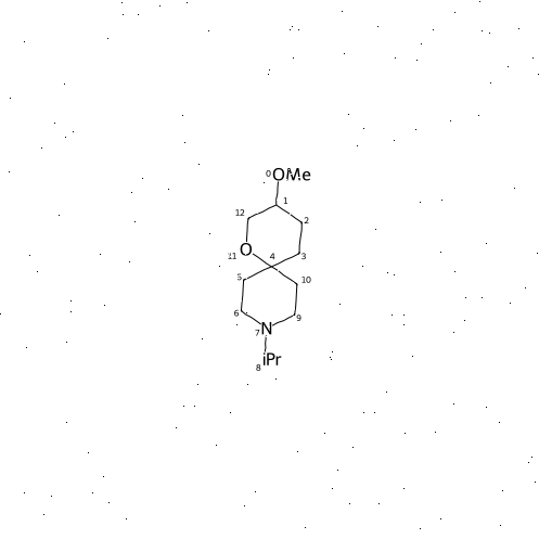 COC1CCC2(CCN(C(C)C)CC2)OC1